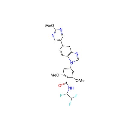 COc1ncc(-c2ccc3c(c2)ncn3-c2cc(OC)c(C(=O)NC(F)C(F)F)c(OC)c2)cn1